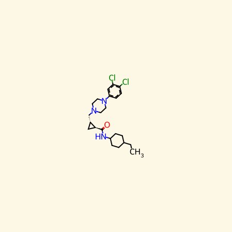 CCC1CCC(NC(=O)[C@H]2C[C@@H]2CN2CCN(c3ccc(Cl)c(Cl)c3)CC2)CC1